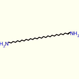 NC=CCCCCCCCCCCCCCCCCCCCCCCCCCCCN